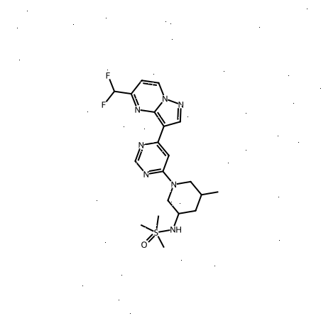 CC1CC(NS(C)(C)(C)=O)CN(c2cc(-c3cnn4ccc(C(F)F)nc34)ncn2)C1